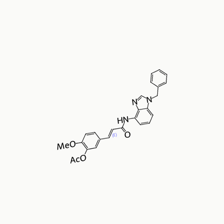 COc1ccc(/C=C/C(=O)Nc2cccc3c2ncn3Cc2ccccc2)cc1OC(C)=O